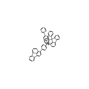 c1ccc(-c2ccc(N(c3ccc(-c4ccc5c6c(cccc46)-c4ccccc4-5)cc3)c3cccc4c3C3(c5ccccc5-c5ccccc53)c3ccccc3-4)cc2)cc1